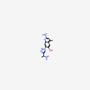 CNc1cc(C)c2cc(OC)c(-n3cc(C(C)N(C)C)nn3)cc2n1